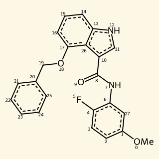 COc1ccc(F)c(NC(=O)c2c[nH]c3cccc(OCc4ccccc4)c23)c1